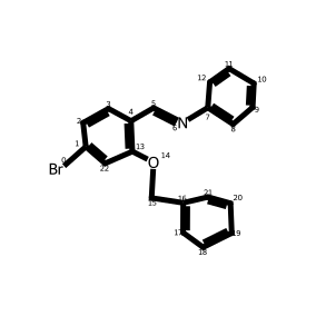 Brc1ccc(C=Nc2ccccc2)c(OCc2ccccc2)c1